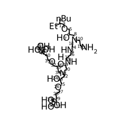 CCCCC(CC)COCC(O)CN(CCN)CCNCCNCCN(CC(O)COCCC[Si](O)(O)O)CC(O)COCCC[Si](O)(O)O